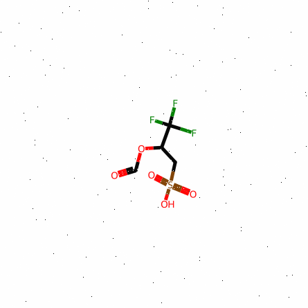 O=COC(CS(=O)(=O)O)C(F)(F)F